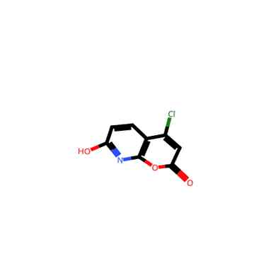 O=c1cc(Cl)c2ccc(O)nc2o1